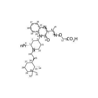 CCC[C@@H]1CC(n2c(=O)c(/C(C)=N/OCC(=O)O)nc3ccccc32)CCN1CC[C@@H]1CCCC(C)(C)[C@H]1C